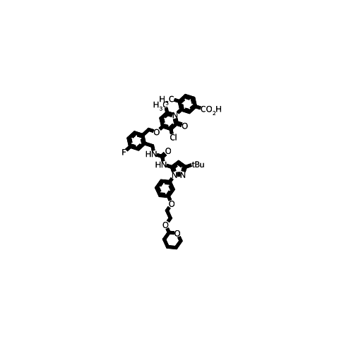 Cc1ccc(C(=O)O)cc1-n1c(C)cc(OCc2ccc(F)cc2CNC(=O)Nc2cc(C(C)(C)C)nn2-c2cccc(OCCOC3CCCCO3)c2)c(Cl)c1=O